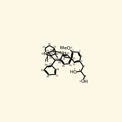 COc1ccc(CC(O)CO)cc1CN[C@H]1C2CCN(CC2)[C@H]1C(c1ccccc1)c1ccccc1